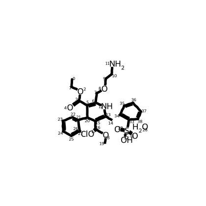 CCOC(=O)C1=C(COCCN)NC(C)=C(C(=O)OC)C1c1ccccc1Cl.O.O=S(=O)(O)c1ccccc1